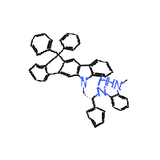 CNc1ccccc1N[C@@H](Cn1c2ccccc2c2cc3c(cc21)-c1ccccc1C3(c1ccccc1)c1ccccc1)c1ccccc1